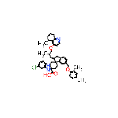 Cc1ccc(OCc2ccc3c(c2)C2(CCC(Nc4cccc(Cl)c4)(C(=O)O)CC2)C(C[C@@H](C)COc2ccnc4c2[C@H](C)CCC4)C3)c(C)c1